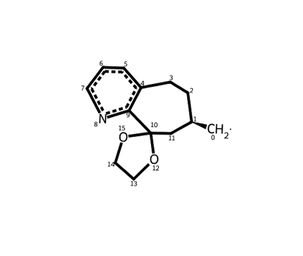 [CH2][C@@H]1CCc2cccnc2C2(C1)OCCO2